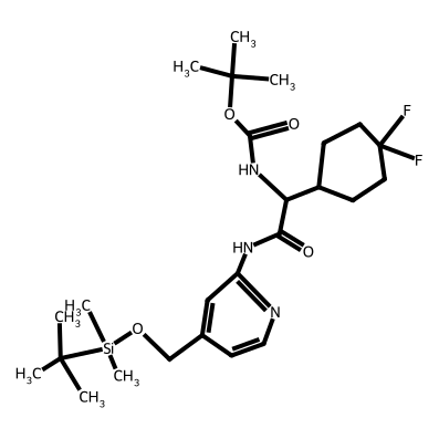 CC(C)(C)OC(=O)NC(C(=O)Nc1cc(CO[Si](C)(C)C(C)(C)C)ccn1)C1CCC(F)(F)CC1